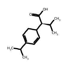 CC(C)C1=CCC([C@@H](C(=O)O)C(C)C)C=C1